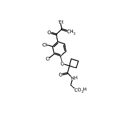 C=C(CC)C(=O)c1ccc(OC2(C(=O)NCC(=O)O)CCC2)c(Cl)c1Cl